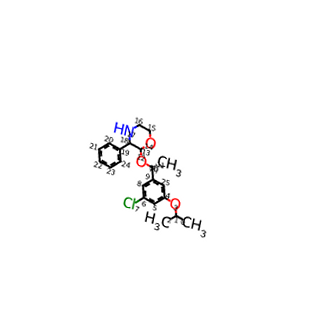 CC(C)Oc1cc(Cl)cc([C@@H](C)OC2OCCNC2c2ccccc2)c1